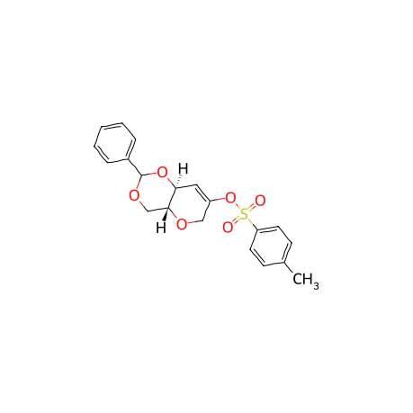 Cc1ccc(S(=O)(=O)OC2=C[C@@H]3OC(c4ccccc4)OC[C@H]3OC2)cc1